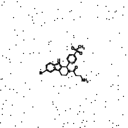 CS(=O)(=O)c1ccc(C2c3[nH]c4ccc(Br)cc4c3CCN2C(=O)CCN)cc1